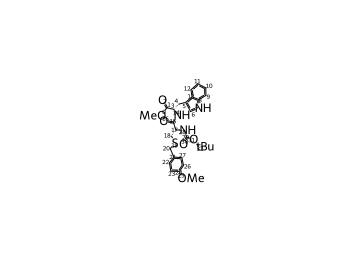 COC(=O)[C@H](Cc1c[nH]c2ccccc12)NC(=O)[C@@H](CSCc1ccc(OC)cc1)NC(=O)OC(C)(C)C